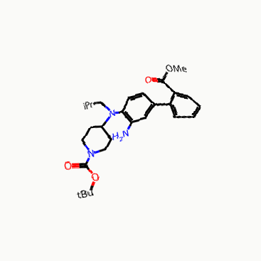 COC(=O)c1ccccc1-c1ccc(N(CC(C)C)C2CCN(C(=O)OC(C)(C)C)CC2)c(N)c1